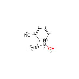 C#CBO.N#Cc1ccccc1